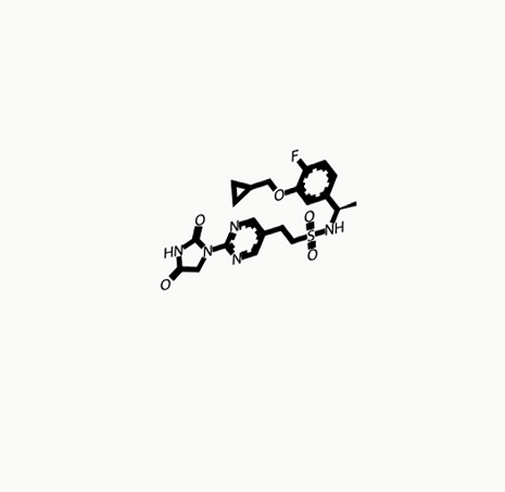 C[C@@H](NS(=O)(=O)CCc1cnc(N2CC(=O)NC2=O)nc1)c1ccc(F)c(OCC2CC2)c1